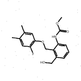 COC(=O)Nc1cccc(CO)c1COc1cc(C)c(C)cc1F